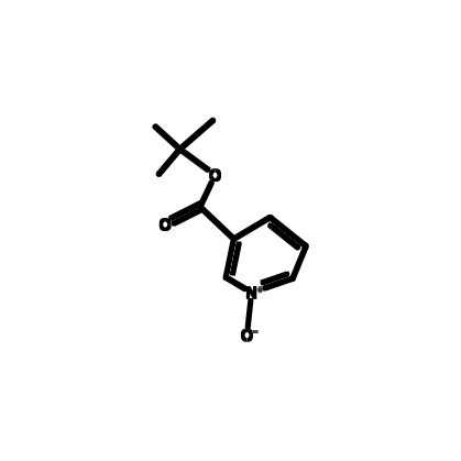 CC(C)(C)OC(=O)c1ccc[n+]([O-])c1